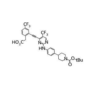 CC(C)(C)OC(=O)N1CCC(c2ccc(Nc3ncc(C(F)(F)F)c(C#Cc4cc(C(F)(F)F)ccc4CC(=O)O)n3)cc2)CC1